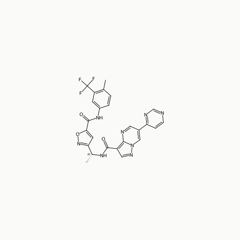 Cc1ccc(NC(=O)c2cc([C@@H](C)NC(=O)c3cnn4cc(-c5ccncn5)cnc34)no2)cc1C(F)(F)F